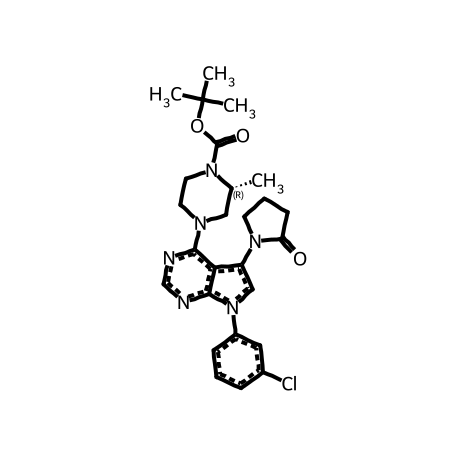 C[C@@H]1CN(c2ncnc3c2c(N2CCCC2=O)cn3-c2cccc(Cl)c2)CCN1C(=O)OC(C)(C)C